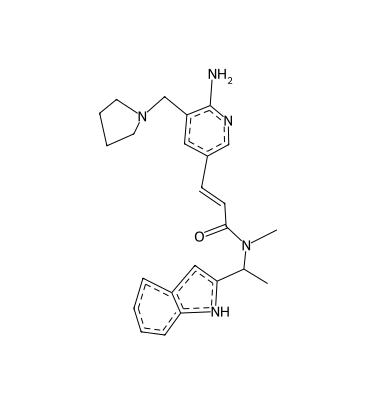 CC(c1cc2ccccc2[nH]1)N(C)C(=O)C=Cc1cnc(N)c(CN2CCCC2)c1